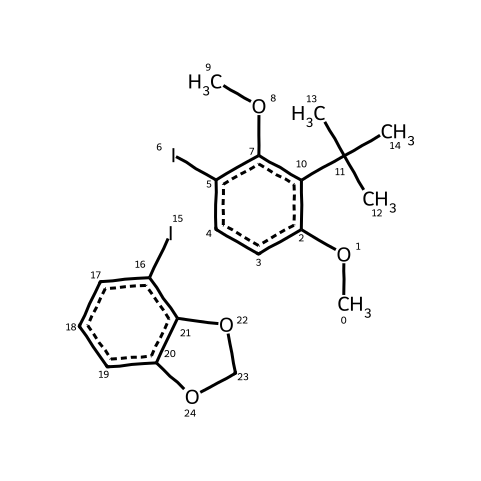 COc1ccc(I)c(OC)c1C(C)(C)C.Ic1cccc2c1OCO2